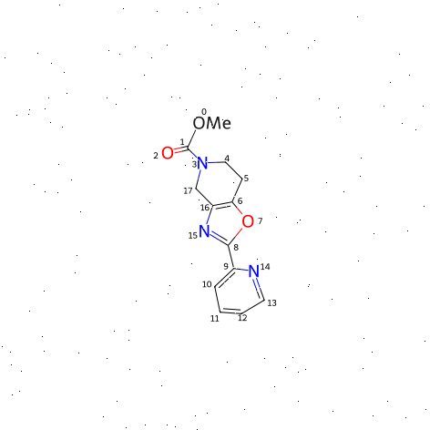 COC(=O)N1CCc2oc(-c3ccccn3)nc2C1